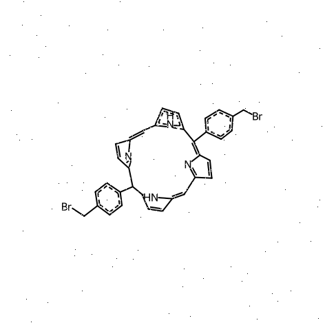 BrCc1ccc(/C2=C3\C=CC(=N3)/C=C3/C=CC(N3)C(c3ccc(CBr)cc3)C3=N/C(=C\c4ccc2[nH]4)C=C3)cc1